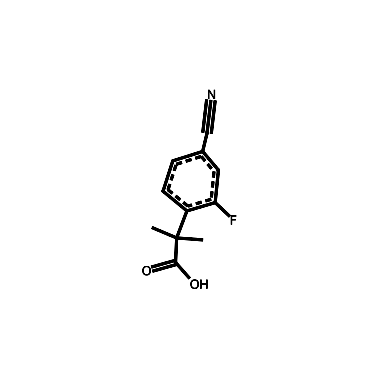 CC(C)(C(=O)O)c1ccc(C#N)cc1F